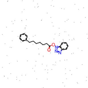 O=C(CCCCCCc1ccccc1)On1nnc2ccccc21